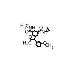 CNC(=O)c1cc(C(=O)NC2CC2)cc2c1OC(C)C2c1cccc(OC)c1